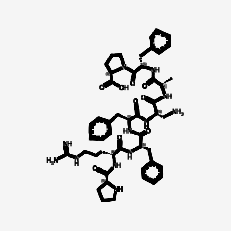 C[C@H](NC(=O)[C@H](CN)NC(=O)[C@H](Cc1ccccc1)NC(=O)[C@H](Cc1ccccc1)NC(=O)[C@@H](CCCNC(=N)N)NC(=O)[C@@H]1CCCN1)C(=O)N[C@@H](Cc1ccccc1)C(=O)N1CCC[C@@H]1C(=O)O